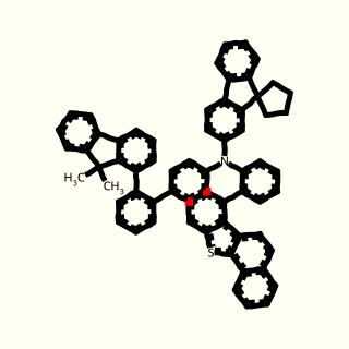 CC1(C)c2ccccc2-c2cccc(-c3ccccc3-c3ccc(N(c4ccc5c(c4)C4(CCCC4)c4ccccc4-5)c4ccccc4-c4cccc5sc6c7ccccc7ccc6c45)cc3)c21